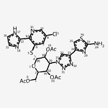 CC(=O)OCC1O[C@H](Sc2cc(Cl)cnc2-c2ncc[nH]2)C(OC(C)=O)C(n2cc(-c3csc(N)n3)nn2)[C@H]1OC(C)=O